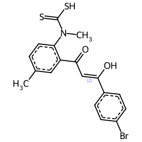 Cc1ccc(N(C)C(=S)S)c(C(=O)/C=C(\O)c2ccc(Br)cc2)c1